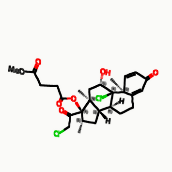 COC(=O)CCC(=O)O[C@]1(C(=O)CCl)[C@@H](C)C[C@H]2[C@@H]3CCC4=CC(=O)C=C[C@]4(C)[C@@]3(Cl)[C@@H](O)C[C@@]21C